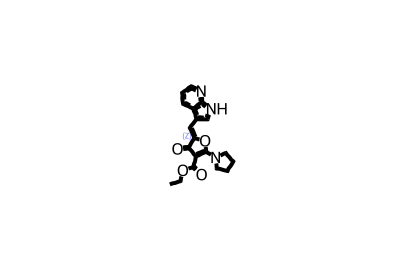 CCOC(=O)C1=C(N2CCCC2)O/C(=C\c2c[nH]c3ncccc23)C1=O